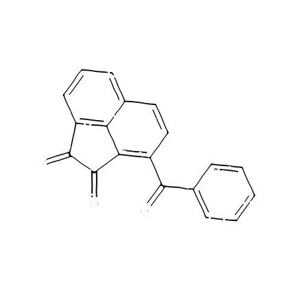 O=C(c1ccccc1)c1ccc2cccc3c2c1C(=O)C3=O